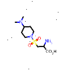 CN(C)C1CCN(S(=O)(=O)CC(N)C(=O)O)CC1